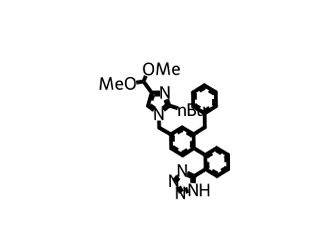 CCCCc1nc(C(OC)OC)cn1Cc1ccc(-c2ccccc2-c2nnn[nH]2)c(Cc2ccccc2)c1